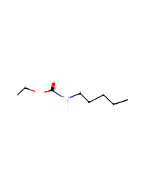 CCCCCNC(=O)OCC